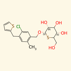 Cc1cc(Cc2cccs2)c(Cl)cc1CO[C@H]1SC(CO)[C@@H](O)C(O)[C@H]1O